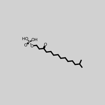 CC(C)CCCCCCCCCC(=O)CCOP(=O)(O)O